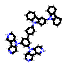 c1ccc2c(c1)c1ccccc1n2-c1ccc2c(c1)c1ccccc1n2-c1ccc(-c2cc(-n3c4ccncc4c4cnccc43)cc(-n3c4ccncc4c4cnccc43)c2)cc1